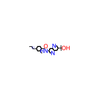 C/C=C/c1ccc(C(=O)Nc2cnc3cc(C(C)(C)O)cnc3c2)c(C)c1